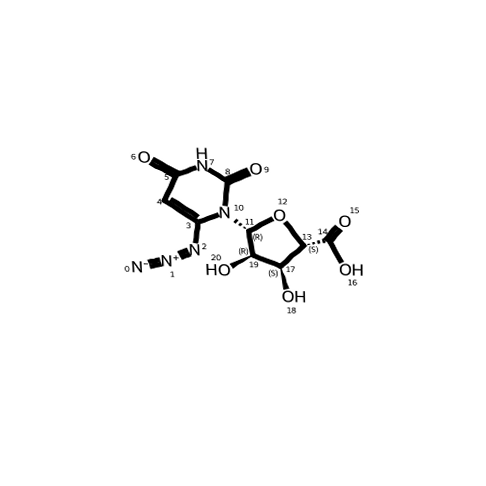 [N-]=[N+]=Nc1cc(=O)[nH]c(=O)n1[C@@H]1O[C@H](C(=O)O)[C@@H](O)[C@H]1O